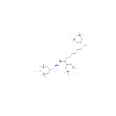 CCN(CCCCCCC(C(=N)/N=C(\N)N(C)C1CC(C)(C)N(OC)C(C)(C)C1)C1CC(C)(C)N(OC)C(C)(C)C1)C1CC(C)(C)N(OC)C(C)(C)C1